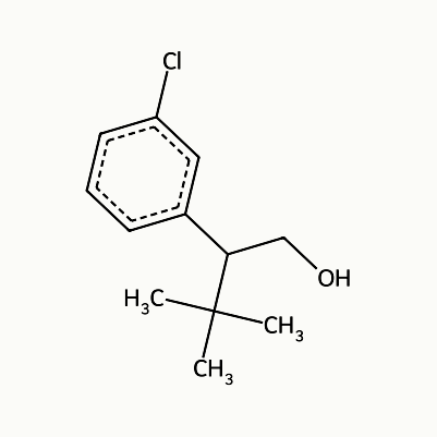 CC(C)(C)C(CO)c1cccc(Cl)c1